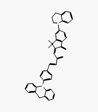 C=C(/C=C1\C(=C)c2ccc(N3CCCc4ccccc43)cc2C1(C)C)/C=C/c1ccc(N2c3ccccc3Cc3ccccc32)cc1